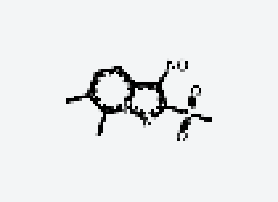 Cc1ccc2c(N=O)c(S(C)(=O)=O)nn2c1C